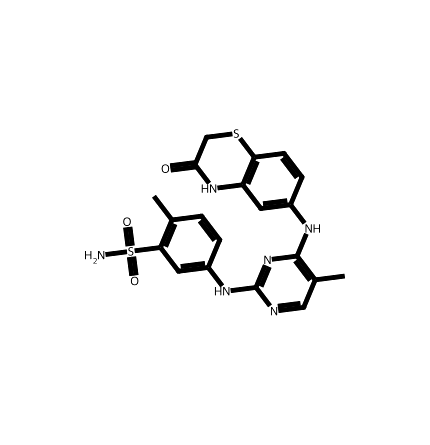 Cc1ccc(Nc2ncc(C)c(Nc3ccc4c(c3)NC(=O)CS4)n2)cc1S(N)(=O)=O